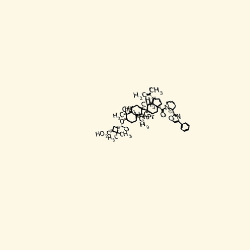 C=C(C)[C@@H]1CC[C@]2(C(=O)N3CCC[C@H]3c3nc(-c4ccccc4)co3)CC[C@@](C)([C@]3(C)CC[C@H]4C(C)(C)[C@@H](OC(=O)[C@H]5C[C@@H](C(=O)O)C5(C)C)CC[C@]4(C)[C@H]3CCC)C[C@@H]12